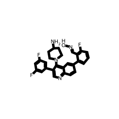 NC1CCN(c2c(-c3cc(F)cc(F)c3)cnc3ccc(-c4cccc(F)c4C=NO)cc23)CC1